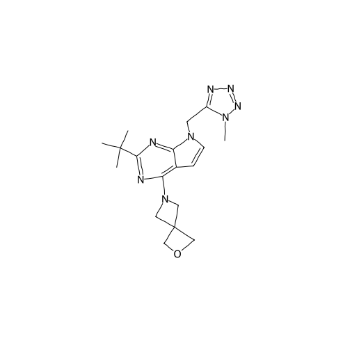 Cn1nnnc1Cn1ccc2c(N3CC4(COC4)C3)nc(C(C)(C)C)nc21